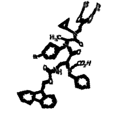 CCOC(CN(C(=O)C(C)N(C(=O)C(CNC(=O)OCC1c2ccccc2-c2ccccc21)N(Cc1ccccc1)C(=O)O)c1ccc(Br)cc1)C1CC1)OCC